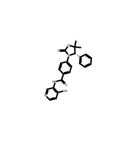 CC1(C)OC(=O)N(c2ccc(C(=O)Nc3cnccc3O)cc2)[C@H]1c1ccccc1